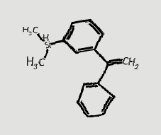 C=C(c1ccccc1)c1cccc([SiH](C)C)c1